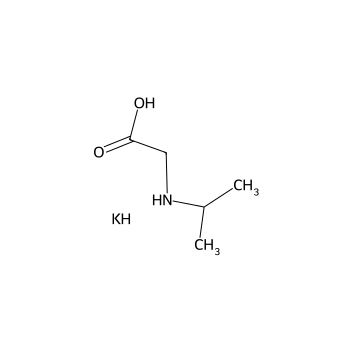 CC(C)NCC(=O)O.[KH]